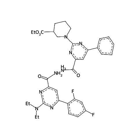 CCN(CC)c1nc(C(N)=O)cc(-c2ccc(F)cc2F)n1.CCOC(=O)C1CCCN(c2nc(C(N)=O)cc(-c3ccccc3)n2)C1